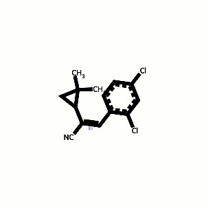 CC1(C)CC1/C(C#N)=C\c1ccc(Cl)cc1Cl